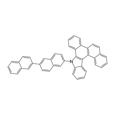 c1ccc2cc(-c3ccc4cc(-n5c6ccccc6c6c7c8ccccc8ccc7c7ccccc7c65)ccc4c3)ccc2c1